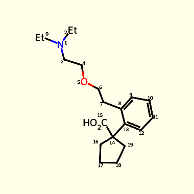 CCN(CC)CCOCCc1ccccc1C1(C(=O)O)CCCC1